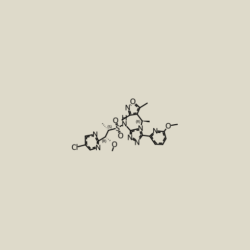 COc1cccc(-c2nnc(NS(=O)(=O)[C@@H](C)[C@H](OC)c3ncc(Cl)cn3)n2[C@H](C)c2c(C)noc2C)n1